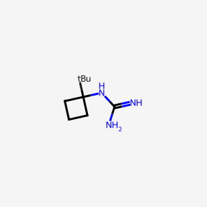 CC(C)(C)C1(NC(=N)N)CCC1